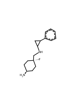 N[C@H]1CC[C@@](F)(CNC2CC2c2ccccc2)CC1